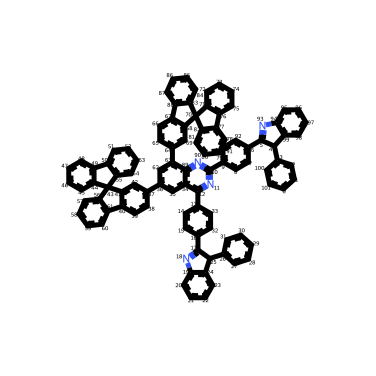 c1ccc(C2C(c3ccc(-c4nc(-c5ccc(C6=Nc7ccccc7C6c6ccccc6)cc5)c5cc(-c6ccc7c(c6)C6(c8ccccc8-c8ccccc86)c6ccccc6-7)cc(-c6ccc7c(c6)C6(c8ccccc8-c8ccccc86)c6ccccc6-7)c5n4)cc3)=Nc3ccccc32)cc1